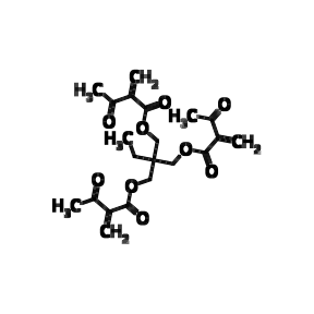 C=C(C(C)=O)C(=O)OCC(CC)(COC(=O)C(=C)C(C)=O)COC(=O)C(=C)C(C)=O